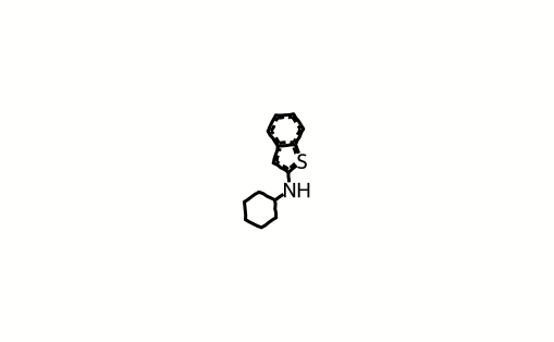 c1ccc2sc(NC3CCCCC3)cc2c1